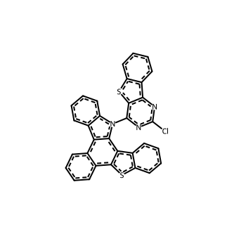 Clc1nc(-n2c3ccccc3c3c4ccccc4c4sc5ccccc5c4c32)c2sc3ccccc3c2n1